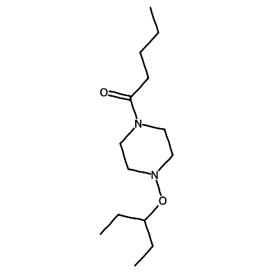 CCCCC(=O)N1CCN(OC(CC)CC)CC1